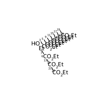 CCO.CCOC(C)=O.CCOC(C)=O.CCOC(C)=O.CCOC(C)=O.CCOC(C)=O.CCOC(C)=O.CCOC(C)=O.CCOC(C)=O.CCOC(C)=O.CCOC(C)=O